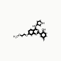 COCCOc1ccc2c(NC3CCNC3)nc(-c3cc(F)ccc3O)nc2c1